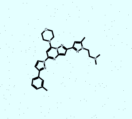 Cc1cccc(-c2ccn(-c3cc(N4CCOCC4)n4nc(-c5cc(C)n(CCN(C)C)n5)cc4n3)n2)c1